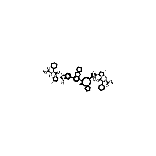 C=C1CC2(CCCC2)CC/C(c2cnc([C@@H]3C[C@H](C)CN3C(=O)[C@@H](NC(=O)OC)C3CCCCC3)[nH]2)=C\C=C/1c1ccc(-c2ccc3nc([C@@H]4C[C@H](C)CN4C(=O)[C@@H](NC(=O)OC)C4CCCCC4)[nH]c3c2)c2c1CC1(CCCC1)C2